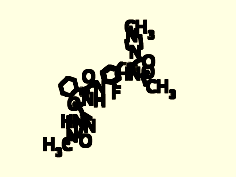 CCC(=O)N[C@H](Cc1ccc(NC(=O)[C@@H](NC(=O)c2cnc(C(=O)NC)[nH]2)C2CCCCC2)c(F)c1)C(=O)N1CCN(C)CC1